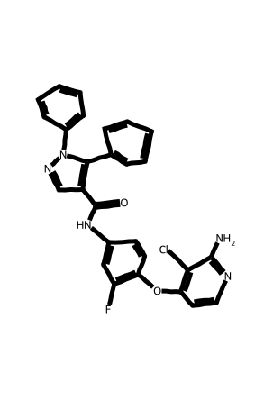 Nc1nccc(Oc2ccc(NC(=O)c3cnn(-c4ccccc4)c3-c3ccccc3)cc2F)c1Cl